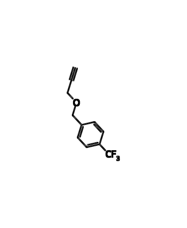 C#CCOCc1ccc(C(F)(F)F)cc1